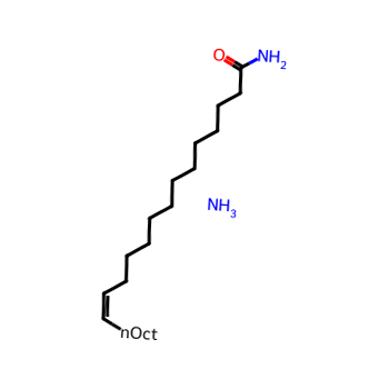 CCCCCCCC/C=C\CCCCCCCCCCCC(N)=O.N